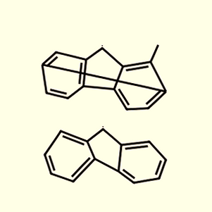 Cc1c2ccc3c1[CH]c1cc-2ccc1-3.[CH]1c2ccccc2-c2ccccc21